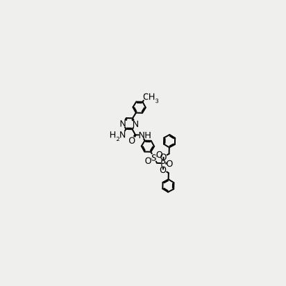 Cc1ccc(-c2cnc(N)c(C(=O)Nc3ccc(S(=O)(=O)CP(=O)(OCc4ccccc4)OCc4ccccc4)cc3)n2)cc1